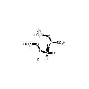 N.O=S(=O)(O)OOS(=O)(=O)O.O=S(=O)([O-])OOS(=O)(=O)O.[K+]